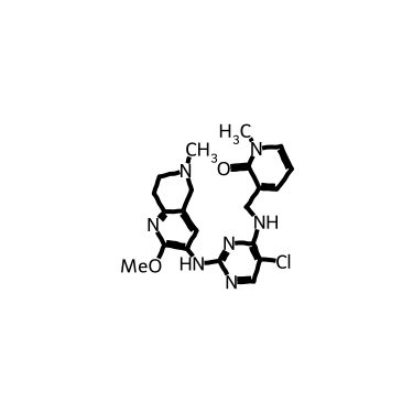 COc1nc2c(cc1Nc1ncc(Cl)c(NCc3cccn(C)c3=O)n1)CN(C)CC2